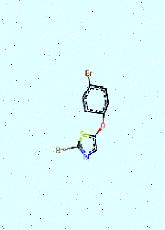 Brc1ccc(Oc2cnc(Br)s2)cc1